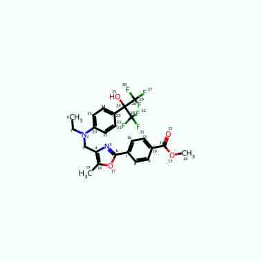 CCN(Cc1nc(-c2ccc(C(=O)OC)cc2)oc1C)c1ccc(C(O)(C(F)(F)F)C(F)(F)F)cc1